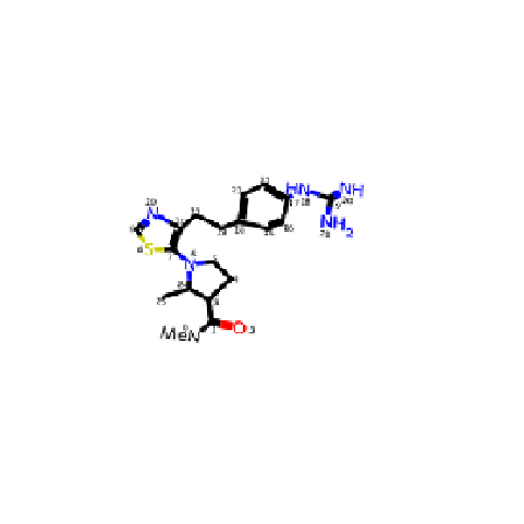 CNC(=O)C1CCN(c2scnc2CCc2ccc(NC(=N)N)cc2)C1C